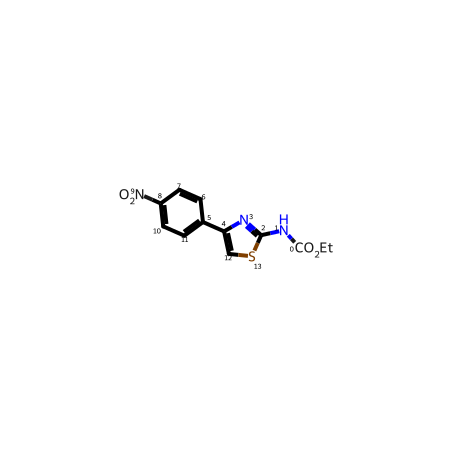 CCOC(=O)Nc1nc(-c2ccc([N+](=O)[O-])cc2)cs1